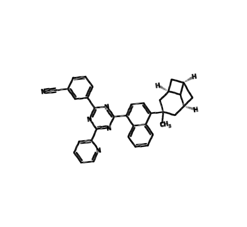 CC1(c2ccc(-c3nc(-c4cccc(C#N)c4)nc(-c4ccccn4)n3)c3ccccc23)C[C@H]2C[C@H]3C[C@@H](C1)C32